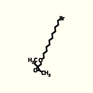 CCC1(COCCCCCCCCCCCCBr)OC1C